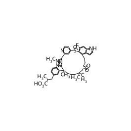 C[C@@H](Cc1cccc([C@@]2(C)CCCC(C)(C)CS(=O)(=O)CCc3c(c(F)cc4[nH]ccc34)[S+]([O-])c3ccnc(c3)-c3nc2nn3C)c1)C(=O)O